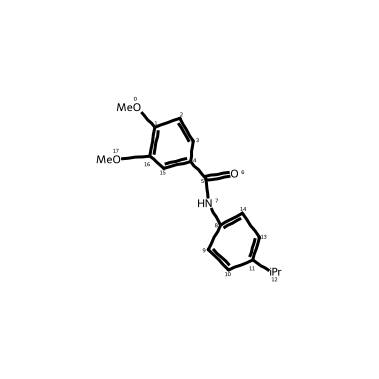 COc1ccc(C(=O)Nc2ccc(C(C)C)cc2)cc1OC